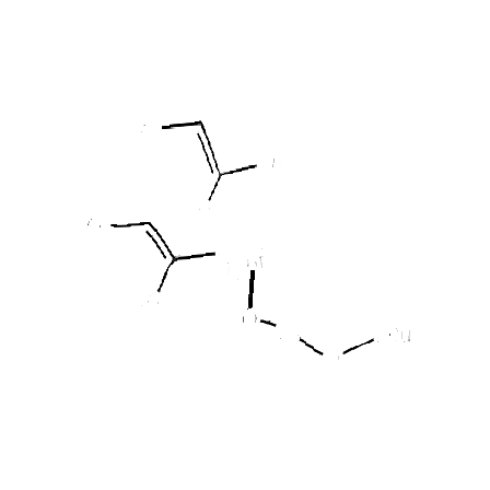 CC(=O)/C=C(/C)[O-].CC(=O)/C=C(/C)[O-].CCCC[O][Zr+2][O]CCCC